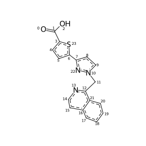 O=C(O)c1ccc(-c2ccn(Cc3nccc4ccccc34)n2)s1